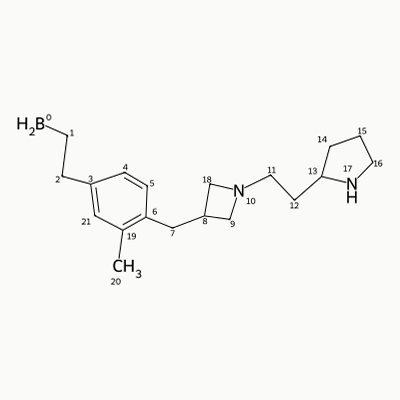 BCCc1ccc(CC2CN(CCC3CCCN3)C2)c(C)c1